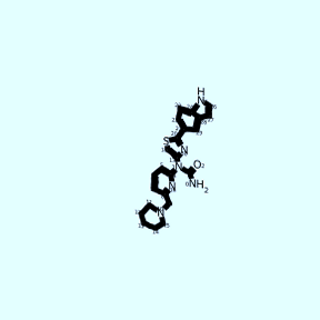 NC(=O)N(c1cccc(CN2CCCCC2)n1)c1csc(-c2ccc3[nH]ccc3c2)n1